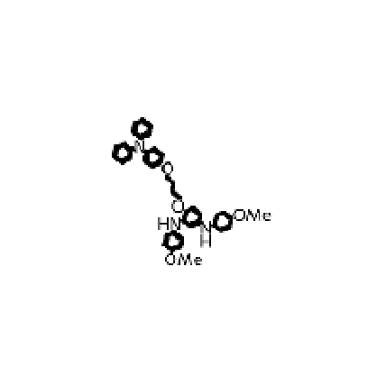 COc1ccc(Nc2ccc(OCCCCOc3ccc(N(c4ccccc4)c4ccccc4)cc3)c(Nc3ccc(OC)cc3)c2)cc1